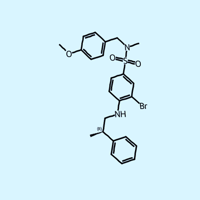 COc1ccc(CN(C)S(=O)(=O)c2ccc(NC[C@H](C)c3ccccc3)c(Br)c2)cc1